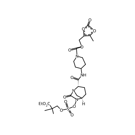 CCOC(=O)C(C)(C)COS(=O)(=O)ON1C(=O)N2C[C@H]1CC[C@H]2C(=O)NC1CCN(C(=O)OCc2oc(=O)oc2C)CC1